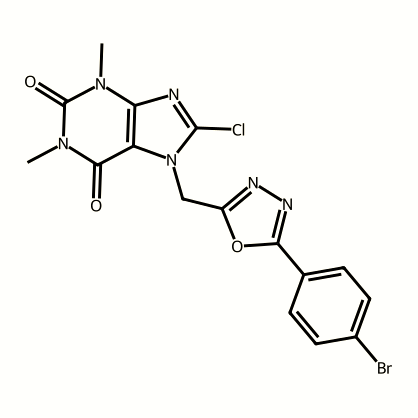 Cn1c(=O)c2c(nc(Cl)n2Cc2nnc(-c3ccc(Br)cc3)o2)n(C)c1=O